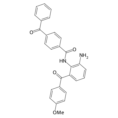 COc1ccc(C(=O)c2cccc(N)c2NC(=O)c2ccc(C(=O)c3ccccc3)cc2)cc1